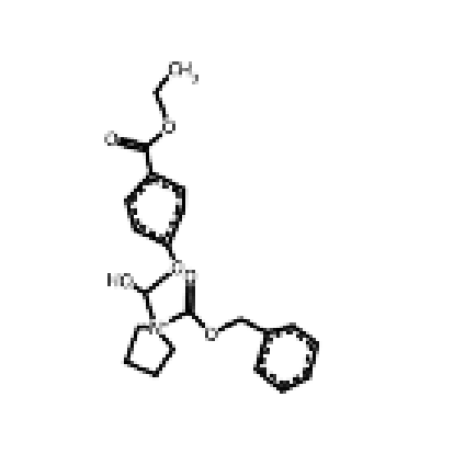 CCOC(=O)c1ccc(OC(O)[N+]2(C(=O)OCc3ccccc3)CCCC2)cc1